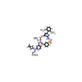 COCCN(c1nccc(CN2C(=O)c3cccc(c3)S(=O)(=O)Nc3nc(cc(-c4c(C)cccc4C)n3)OC[C@H]2CC(C)(C)C)n1)C1CC2(CC2)C1